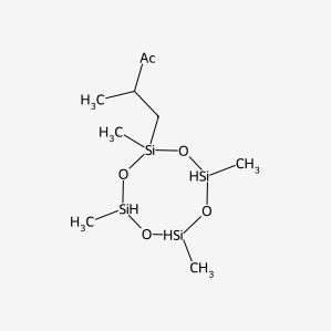 CC(=O)C(C)C[Si]1(C)O[SiH](C)O[SiH](C)O[SiH](C)O1